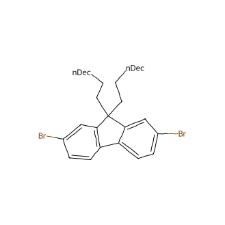 CCCCCCCCCCCCC1(CCCCCCCCCCCC)c2cc(Br)ccc2-c2ccc(Br)cc21